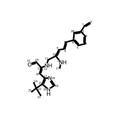 C=Cc1cccc(/C=C/C=C(/CN/C(C=O)=C\c2nc[nH]c2C(C)(C)C)NC)c1